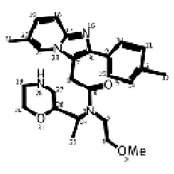 COCCN(C(=O)Cc1c(-c2ccc(C)cc2)nc2ccc(C)cn12)C(C)C1CNCCO1